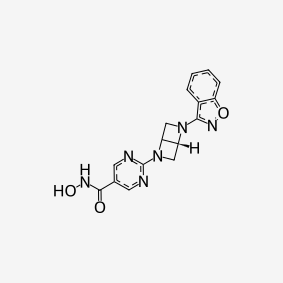 O=C(NO)c1cnc(N2C[C@@H]3C2CN3c2noc3ccccc23)nc1